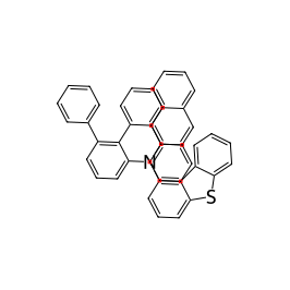 c1ccc(-c2ccccc2-c2c(-c3ccccc3)cccc2N(c2ccc3ccccc3c2)c2cccc3sc4ccccc4c23)cc1